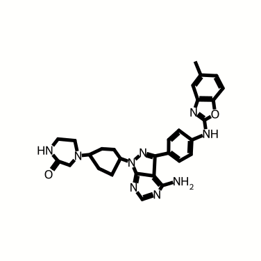 Cc1ccc2oc(Nc3ccc(-c4nn(C5CCC(N6CCNC(=O)C6)CC5)c5ncnc(N)c45)cc3)nc2c1